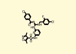 Cc1noc(C)c1S(=O)(=O)Nc1cccc(N/C(=N\C(=O)c2ccc(Cl)cc2)NCc2ccc(Cl)cc2F)n1